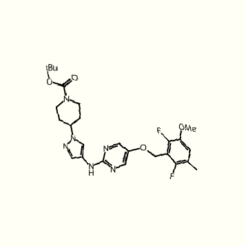 COc1cc(C)c(F)c(COc2cnc(Nc3cnn(C4CCN(C(=O)OC(C)(C)C)CC4)c3)nc2)c1F